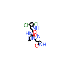 N#C[C@H](CC1CCNC1=O)NC(=O)[C@H](CC1CC1)NC(=O)c1cc2c(Cl)ccc(Cl)c2[nH]1